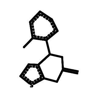 C=C1Cc2sccc2C(c2ccccc2C)C1